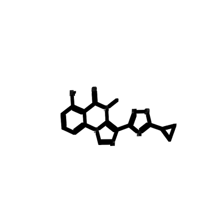 Cn1c(=O)c2c(Br)cccc2n2cnc(-c3noc(C4CC4)n3)c12